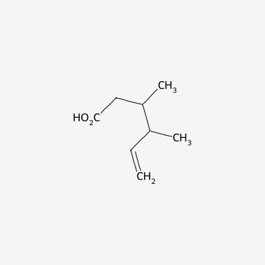 C=CC(C)C(C)CC(=O)O